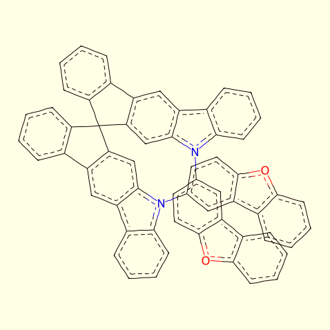 c1ccc2c(c1)-c1cc3c4ccccc4n(-c4ccc5oc6ccccc6c5c4)c3cc1C21c2ccccc2-c2cc3c4ccccc4n(-c4ccc5oc6ccccc6c5c4)c3cc21